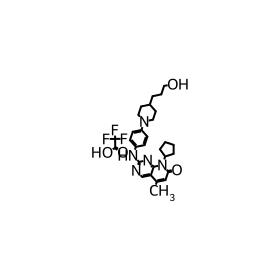 Cc1cc(=O)n(C2CCCC2)c2nc(Nc3ccc(N4CCC(CCCO)CC4)cc3)ncc12.O=C(O)C(F)(F)F